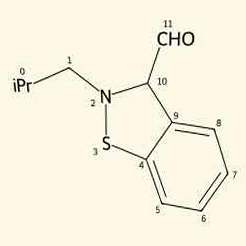 CC(C)CN1Sc2ccccc2C1C=O